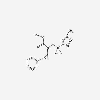 Cc1nc(C2(CN(C(=O)OC(C)(C)C)[C@H]3C[C@@H]3c3ccccc3)CC2)no1